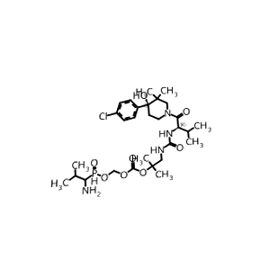 CC(C)C(N)[PH](=O)OCOC(=O)OC(C)(C)CNC(=O)N[C@@H](C(=O)N1CC[C@](O)(c2ccc(Cl)cc2)C(C)(C)C1)C(C)C